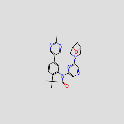 Cc1ncc(-c2ccc(C(C)(C)C)c(N(C=O)c3cncc(N4CC5CC(C4)O5)n3)c2)cn1